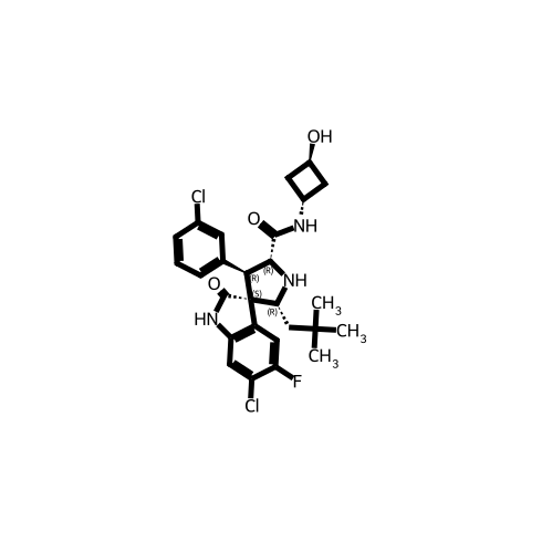 CC(C)(C)C[C@H]1N[C@@H](C(=O)N[C@H]2C[C@H](O)C2)[C@H](c2cccc(Cl)c2)[C@@]12C(=O)Nc1cc(Cl)c(F)cc12